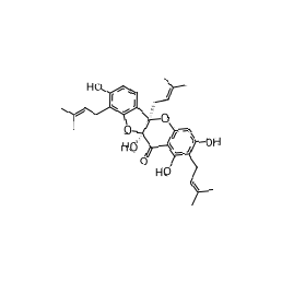 CC(C)=CCc1c(O)cc2c(c1O)C(=O)[C@@]1(O)Oc3c(ccc(O)c3CC=C(C)C)[C@@]1(CC=C(C)C)O2